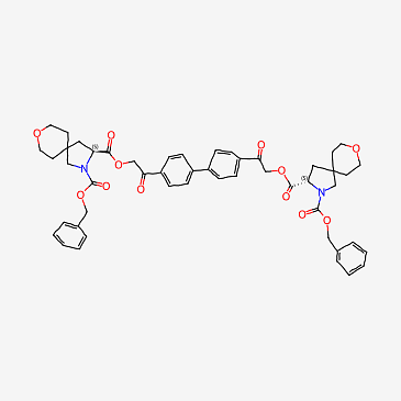 O=C(COC(=O)[C@@H]1CC2(CCOCC2)CN1C(=O)OCc1ccccc1)c1ccc(-c2ccc(C(=O)COC(=O)[C@@H]3CC4(CCOCC4)CN3C(=O)OCc3ccccc3)cc2)cc1